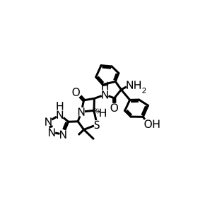 CC1(C)S[C@@H]2C(NC(=O)C(N)(c3ccccc3)c3ccc(O)cc3)C(=O)N2C1c1nnn[nH]1